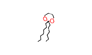 CCCCCCCC1(CCCCCC)OCCCCO1